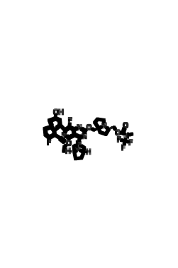 C#Cc1c(F)ccc2cc(O)cc(-c3nc(OCC)c4c(N5C[C@H]6CC[C@@H](C5)N6)nc(OC[C@@]56CCCN5[C@H](COC(=O)N(C)C(F)(F)F)CC6)nc4c3F)c12